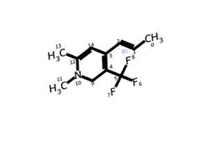 C/C=C/C1=C(C(F)(F)F)CN(C)C(C)=C1